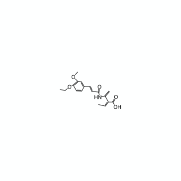 C=C(NC(=O)/C=C/c1ccc(OCC)c(OC)c1)/C(=C\C)C(=O)O